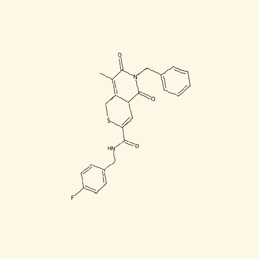 CC1=C2CSC(C(=O)NCc3ccc(F)cc3)=CC2C(=O)N(Cc2ccccc2)C1=O